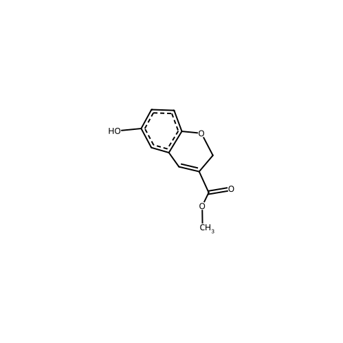 COC(=O)C1=Cc2cc(O)ccc2OC1